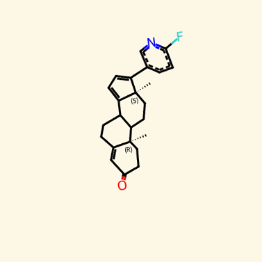 C[C@]12CCC3C(CCC4=CC(=O)CC[C@@]43C)C1=CC=C2c1ccc(F)nc1